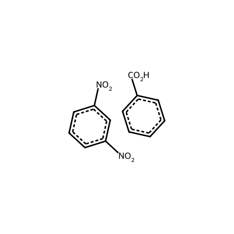 O=C(O)c1ccccc1.O=[N+]([O-])c1cccc([N+](=O)[O-])c1